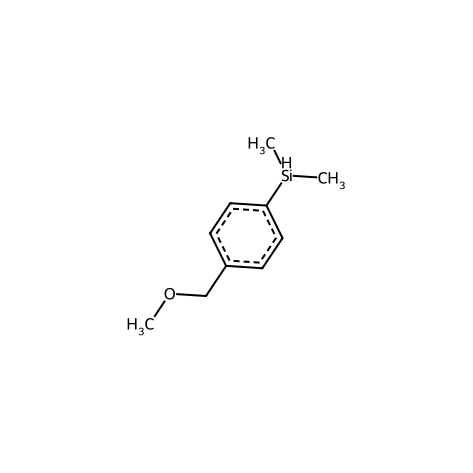 COCc1ccc([SiH](C)C)cc1